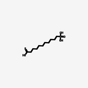 O=P(O)(O)CCCCCCCCCCC(=S)S